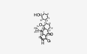 COc1c(-c2cccc(O)c2)ccc2c(=O)c3c(=O)[nH]sc3n(C3CC3)c12